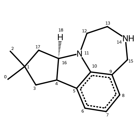 CC1(C)CC2c3cccc4c3N(CCNC4)[C@@H]2C1